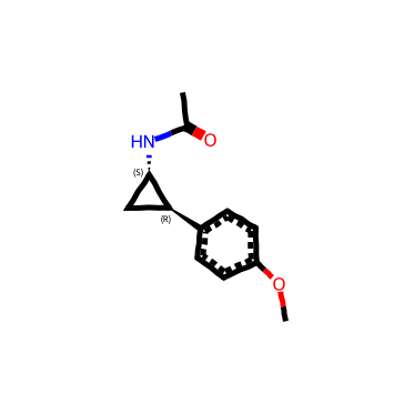 COc1ccc([C@H]2C[C@@H]2NC(C)=O)cc1